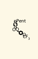 CCCCCN1CCN(C(=O)OCc2ccc(OC(F)(F)F)cc2)CC1